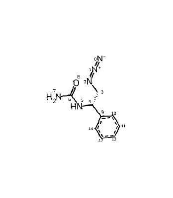 [N-]=[N+]=NC[C@@H](NC(N)=O)c1ccccc1